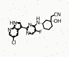 N#CC[C@@]1(O)CCC[C@H](Nc2nc(-c3c[nH]c4ncc(Cl)cc34)ncc2F)C1